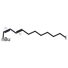 CCCC/C=C\C=C\CCCCCCI